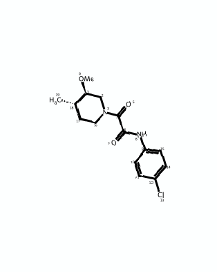 CO[C@H]1CN(C(=O)C(=O)Nc2ccc(Cl)cc2)CC[C@@H]1C